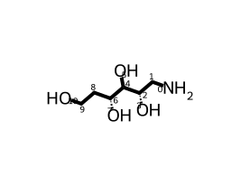 NC[C@H](O)C(O)[C@H](O)CCO